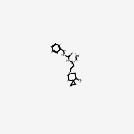 O=C(N[C@H](CO)CCN1CCC2(CC2)C(O)C1)OCc1ccccc1